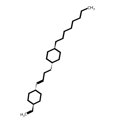 C=C[C@H]1CC[C@H](C=CCC[C@H]2CC[C@H](CCCCCCCC)CC2)CC1